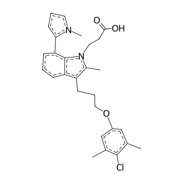 Cc1cc(OCCCc2c(C)n(CCC(=O)O)c3c(-c4cccn4C)cccc23)cc(C)c1Cl